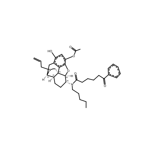 C=CCN1CC[C@]23c4c5c(O)cc(OC(C)=O)c4O[C@H]2[C@H](N(CCCCC)C(=O)CCCCC(=O)c2ccccc2)CC[C@H]3[C@H]1C5